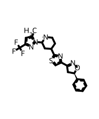 Cc1cc(C(F)(F)F)nn1C1CC(c2nc(C3=NO[C@@H](c4ccccc4)C3)cs2)CC[N]1